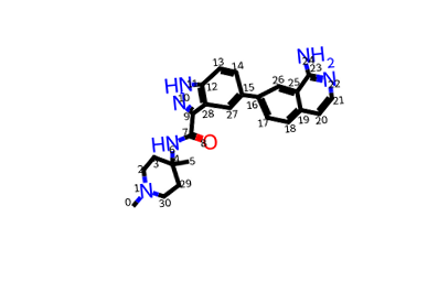 CN1CCC(C)(NC(=O)c2n[nH]c3ccc(-c4ccc5ccnc(N)c5c4)cc23)CC1